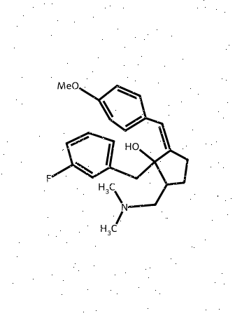 COc1ccc(C=C2CCC(CN(C)C)C2(O)Cc2cccc(F)c2)cc1